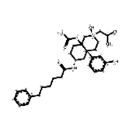 CC(=O)OC12CC[C@@H](NC(=O)CCCCCc3ccccc3)C[C@@]1(c1cccc(O)c1)CC[N@@+](C)(CC(C)C)C2